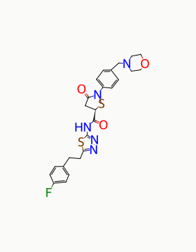 O=C(Nc1nnc(CCc2ccc(F)cc2)s1)[C@H]1CC(=O)N(c2ccc(CN3CCOCC3)cc2)S1